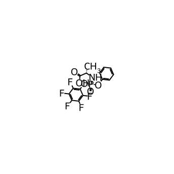 C[C@H](NP(=O)(Oc1ccccc1)Oc1c(F)c(F)c(F)c(F)c1F)C(=O)O